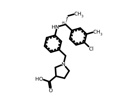 CC[C@@H](Nc1cccc(CN2CCC(C(=O)O)C2)c1)c1ccc(Cl)c(C)c1